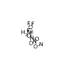 N#Cc1ccccc1CN1C(=O)CN(C(=O)C[C@H](N)Cc2cc(F)c(F)cc2F)Cc2ccccc21